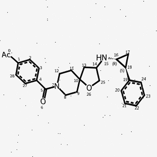 CC(=O)c1ccc(C(=O)N2CCC3(CC2)CC(N[C@@H]2C[C@H]2c2ccccc2)CO3)cc1